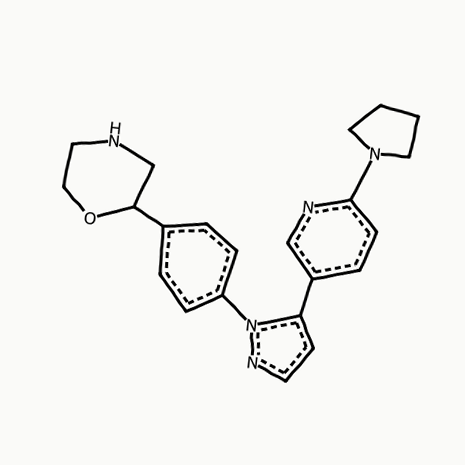 c1cc(-c2ccc(N3CCCC3)nc2)n(-c2ccc(C3CNCCO3)cc2)n1